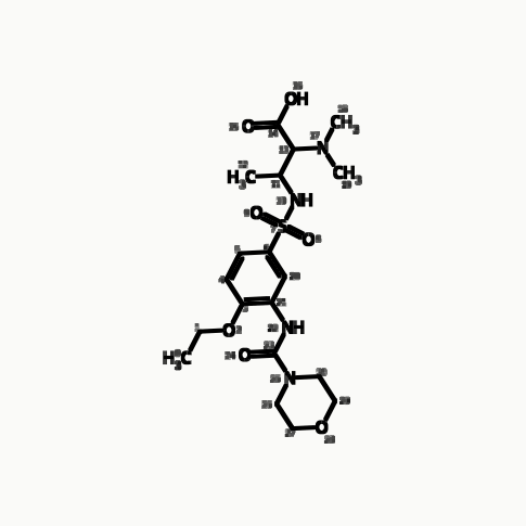 CCOc1ccc(S(=O)(=O)NC(C)C(C(=O)O)N(C)C)cc1NC(=O)N1CCOCC1